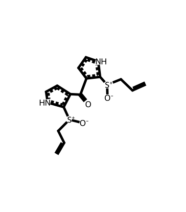 C=CC[S+]([O-])c1[nH]ccc1C(=O)c1cc[nH]c1[S+]([O-])CC=C